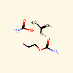 C=C(C)C.NC(=O)O.NC(=O)OCCI